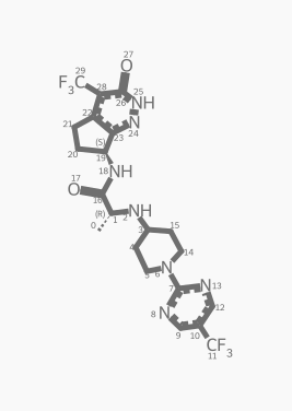 C[C@@H](NC1CCN(c2ncc(C(F)(F)F)cn2)CC1)C(=O)N[C@H]1CCc2c1n[nH]c(=O)c2C(F)(F)F